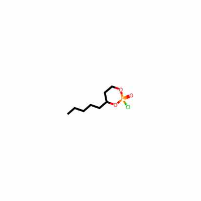 CCCCCC1CCOP(=O)(Cl)O1